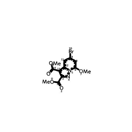 COC(=O)c1nn2c(OC)cc(Br)cc2c1C(=O)OC